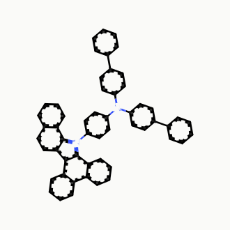 c1ccc(-c2ccc(N(c3ccc(-c4ccccc4)cc3)c3ccc(-n4c5c6ccccc6ccc5c5c6ccccc6c6ccccc6c54)cc3)cc2)cc1